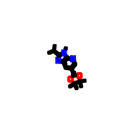 CC(C)c1nc2cc(B3OC(C)(C)C(C)(C)O3)cnc2n1C